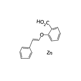 O=C(O)c1ccccc1OC=Cc1ccccc1.[Zn]